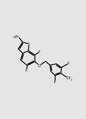 CCCc1cc2cc(F)c(OCc3cc(F)c(C(F)(F)F)c(F)c3)c(F)c2s1